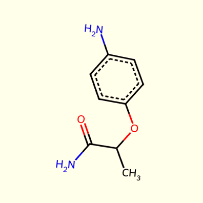 CC(Oc1ccc(N)cc1)C(N)=O